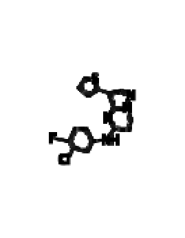 Fc1ccc(Nc2ccn3ncc(-c4cccs4)c3n2)cc1Cl